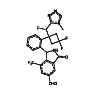 Cn1cnnc1C(F)C1(c2ccccc2C2NC(=O)c3cc(C=O)cc(C(F)(F)F)c32)CC(F)(F)C1